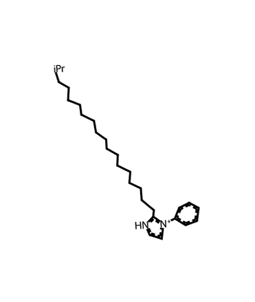 CC(C)CCCCCCCCCCCCCCCCc1[nH]cc[n+]1-c1ccccc1